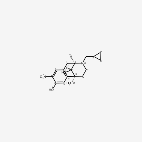 C[C@@H]1[C@H]2Cc3cc([N+](=O)[O-])c(O)cc3[C@]1(C)CCN2CC1CC1